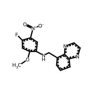 COc1cc(F)c([N+](=O)[O-])cc1NCc1cccc2nccnc12